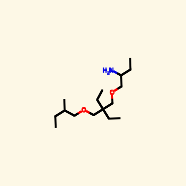 CCC(C)COCC(CC)(CC)COCC(N)CC